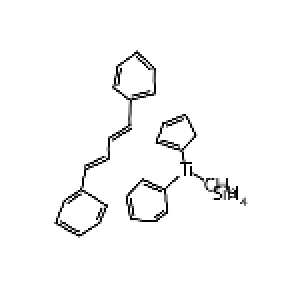 C(C=Cc1ccccc1)=Cc1ccccc1.[CH3][Ti]([C]1=CC=CC1)[c]1ccccc1.[SiH4]